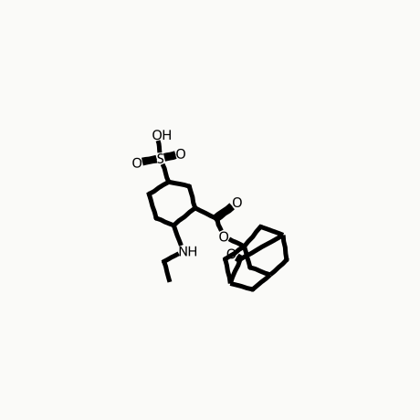 CCNC1CCC(S(=O)(=O)O)CC1C(=O)OC12CC3CC(C1)C(=O)C(C3)C2